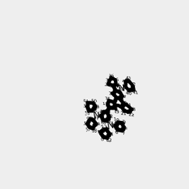 c1ccc(N(c2ccccc2)c2cc(-c3ccc4c(c3)c3ccccc3c3cc5c(cc43)c3ccccc3n5-c3ccccc3)cc(N(c3ccccc3)c3ccccc3)c2)cc1